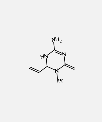 C=CC1NC(N)=NC(=C)N1C(C)C